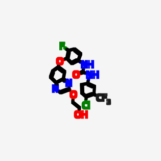 O=C(Nc1ccc(F)c(Oc2ccc3ncc(OCCO)nc3c2)c1)Nc1ccc(Cl)c(C(F)(F)F)c1